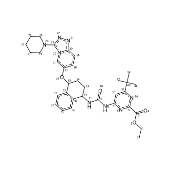 CCOC(=O)c1nc(NC(=O)NC2CCC(Oc3ccc4nnc(N5CCCCC5)n4c3)c3ccccc32)cc(C(C)(C)C)n1